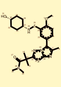 COc1ccc(-c2c(C)nc3sc(C(C)(C)C(=O)N(C)C)nn23)cc1SN[C@H]1CC[C@@H](O)CC1